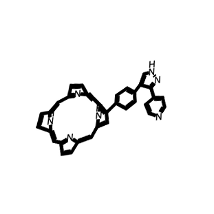 C1=Cc2cc3cc(-c4ccc(-c5c[nH]nc5-c5ccncc5)cc4)c(cc4nc(cc5ccc(cc1n2)[nH]5)C=C4)[nH]3